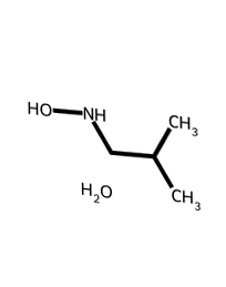 CC(C)CNO.O